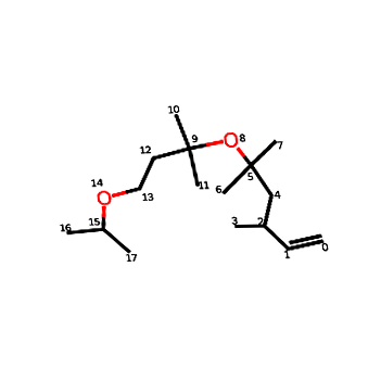 C=CC(C)CC(C)(C)OC(C)(C)CCOC(C)C